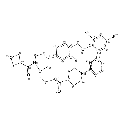 CCOC(=O)C1CCN(c2cccc(-c3cc(F)cc(F)c3OCc3ccc(C4CCN(C(=O)C5COC5)CC4)cc3C)n2)CC1